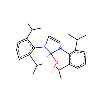 CC(C)c1cccc(C(C)C)c1N1C=CN(c2c(C(C)C)cccc2C(C)C)C1(F)OS